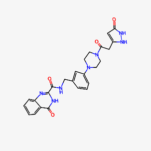 O=C(NCc1cccc(N2CCN(C(=O)Cc3cc(=O)[nH][nH]3)CC2)c1)c1nc2ccccc2c(=O)[nH]1